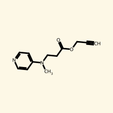 C#CCOC(=O)CCN(C)c1ccncc1